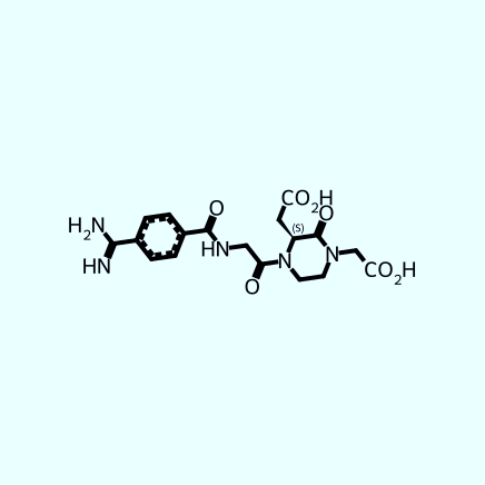 N=C(N)c1ccc(C(=O)NCC(=O)N2CCN(CC(=O)O)C(=O)[C@@H]2CC(=O)O)cc1